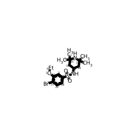 CCOc1cc(S(=O)(=O)NC2CC(C)(C)NC(C)(C)C2)ccc1Br